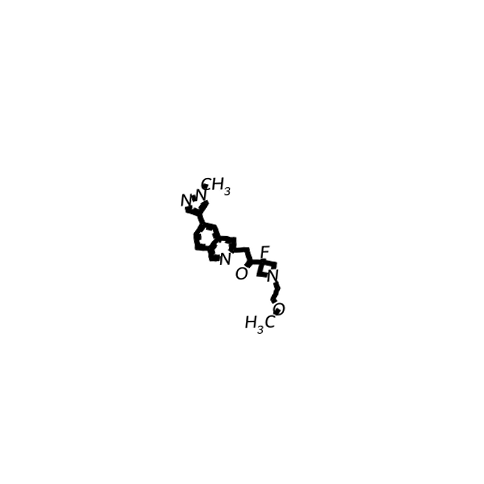 COCCN1CC(F)(C(=O)Cc2cc3cc(-c4cnn(C)c4)ccc3cn2)C1